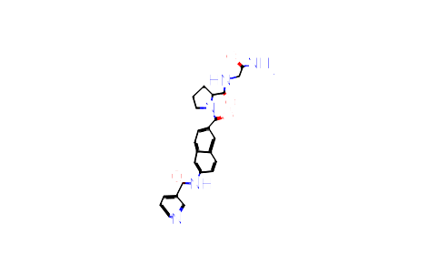 NC(=O)CNC(=O)C1CCCN1C(=O)c1ccc2cc(NC(=O)c3cccnc3)ccc2c1